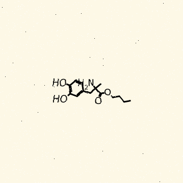 CCCCOC(=O)C(C)(N)Cc1ccc(O)c(O)c1